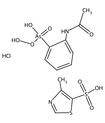 CC(=O)Nc1ccccc1[As](=O)(O)OO.Cc1ncsc1S(=O)(=O)O.Cl